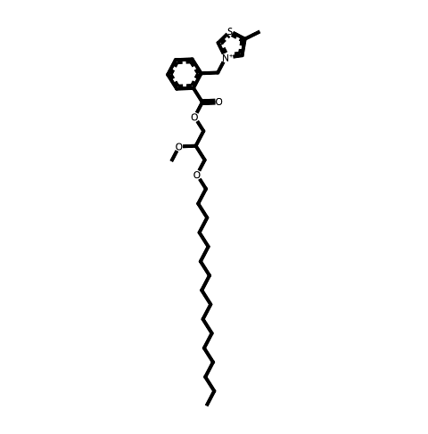 CCCCCCCCCCCCCCCCOCC(COC(=O)c1ccccc1C[n+]1csc(C)c1)OC